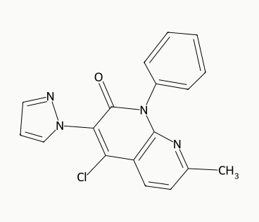 Cc1ccc2c(Cl)c(-n3cccn3)c(=O)n(-c3ccccc3)c2n1